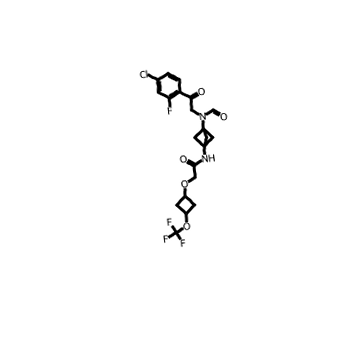 O=CN(CC(=O)c1ccc(Cl)cc1F)C12CC(NC(=O)COC3CC(OC(F)(F)F)C3)(C1)C2